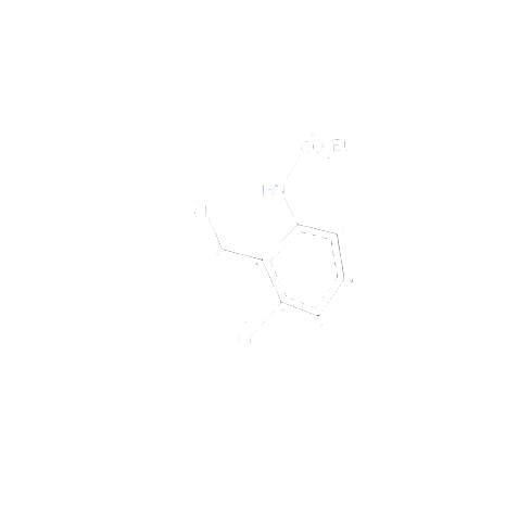 CCOC(=O)Nc1cccc(Cl)c1CCl